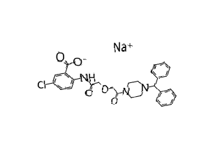 O=C(COCC(=O)N1CCN(C(c2ccccc2)c2ccccc2)CC1)Nc1ccc(Cl)cc1C(=O)[O-].[Na+]